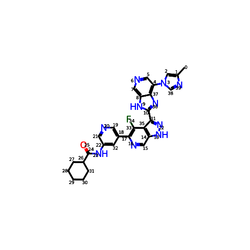 Cc1cn(-c2cncc3[nH]c(-c4n[nH]c5cnc(-c6cncc(NC(=O)C7CCCCC7)c6)c(F)c45)nc23)cn1